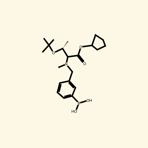 C[C@@H](OC(C)(C)C)C(C(=O)OC1CCCC1)N(C)Cc1cccc(B(O)O)c1